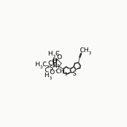 CC#Cc1ccc2sc3ccc([C@](C)(CC(=O)OC)N[S@+]([O-])C(C)(C)C)cc3c2c1